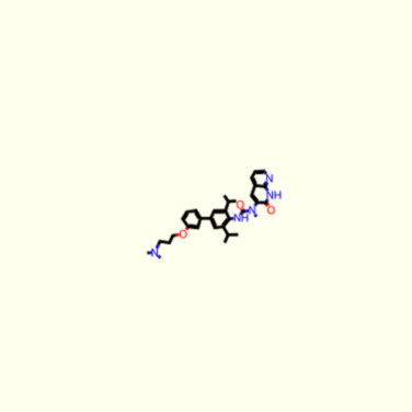 CC(C)c1cc(-c2cccc(OCCCN(C)C)c2)cc(C(C)C)c1NC(=O)N(C)c1cc2cccnc2[nH]c1=O